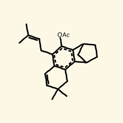 CC(=O)Oc1c(CC=C(C)C)c2c(c3c1C1CCC3C1)CC(C)(C)C=C2